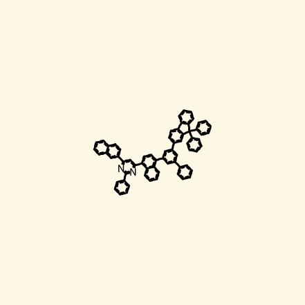 c1ccc(-c2cc(-c3ccc4c(c3)C(c3ccccc3)(c3ccccc3)c3ccccc3-4)cc(-c3ccc(-c4cc(-c5ccc6ccccc6c5)nc(-c5ccccc5)n4)c4ccccc34)c2)cc1